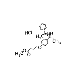 CC[C@@H](N[C@H](C)c1ccccc1)c1ccc(OCCCC(=O)OC)cc1.Cl